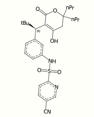 CCCC1(CCC)CC(O)=C([C@@H](c2cccc(NS(=O)(=O)c3ccc(C#N)cn3)c2)C(C)(C)C)C(=O)O1